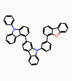 c1ccc(-n2c3ccccc3c3c(-c4ccc5c6ccccc6n(-c6cccc(-c7cccc8c7oc7ccccc78)c6)c5c4)cccc32)cc1